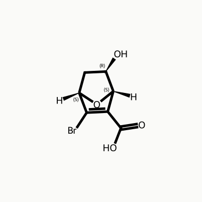 O=C(O)C1=C(Br)[C@@H]2C[C@@H](O)[C@H]1O2